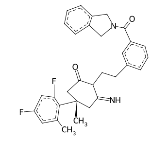 Cc1cc(F)cc(F)c1[C@@]1(C)CC(=N)C(CCc2cccc(C(=O)N3Cc4ccccc4C3)c2)C(=O)C1